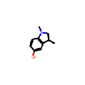 CC1CN(C)c2ccc(O)cc21